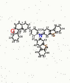 CC1C=C(c2ccc3ccc4oc5ccccc5c4c3c2)C=CC1N(c1ccc2c(c1)sc1ccccc12)c1ccc2c(c1)sc1ccccc12